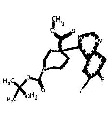 COC(=O)C1(c2ncnc3cc(F)c(F)cc23)CCN(C(=O)OC(C)(C)C)CC1